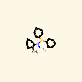 Cc1ccccc1N(C)P(c1ccccc1)c1ccccc1